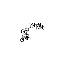 O=C1CCC(N2Cc3cc(C4CCN(Cc5cnc(N6CCCC6)nc5)C5CC45)ccc3C2=O)C(=O)N1